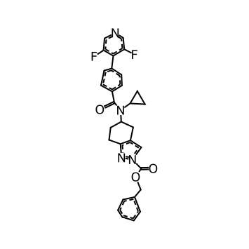 O=C(c1ccc(-c2c(F)cncc2F)cc1)N(C1CC1)C1CCc2nn(C(=O)OCc3ccccc3)cc2C1